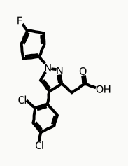 O=C(O)Cc1nn(-c2ccc(F)cc2)cc1-c1ccc(Cl)cc1Cl